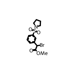 COC(=O)C(Br)c1cccc(S(=O)(=O)N2CCCC2)c1